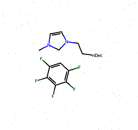 CCCCCCCCCCCCN1C=CN(C)C1.Fc1cc(F)c(F)c(F)c1F